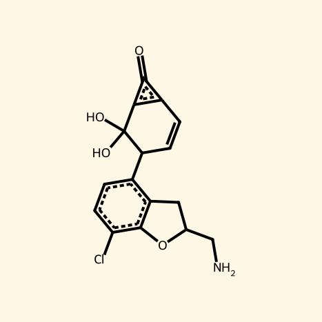 NCC1Cc2c(C3C=Cc4c(c4=O)C3(O)O)ccc(Cl)c2O1